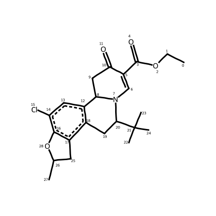 CCOC(=O)C1=CN2C(CC1=O)c1cc(Cl)c3c(c1CC2C(C)(C)C)CC(C)O3